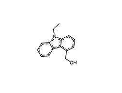 CCn1c2ccccc2c2c(CO)cccc21